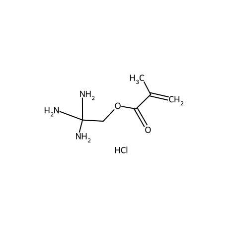 C=C(C)C(=O)OCC(N)(N)N.Cl